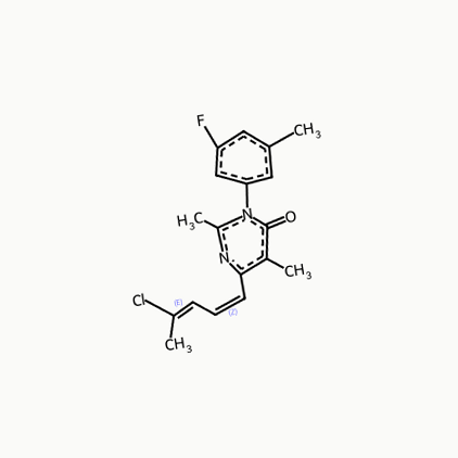 C/C(Cl)=C\C=C/c1nc(C)n(-c2cc(C)cc(F)c2)c(=O)c1C